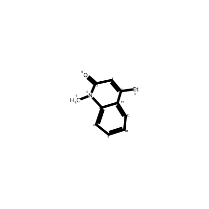 CCc1cc(=O)n(C)c2ccccc12